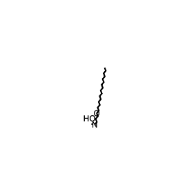 CCCCCCCCCCCCCCCCOCC(O)CN(C)C